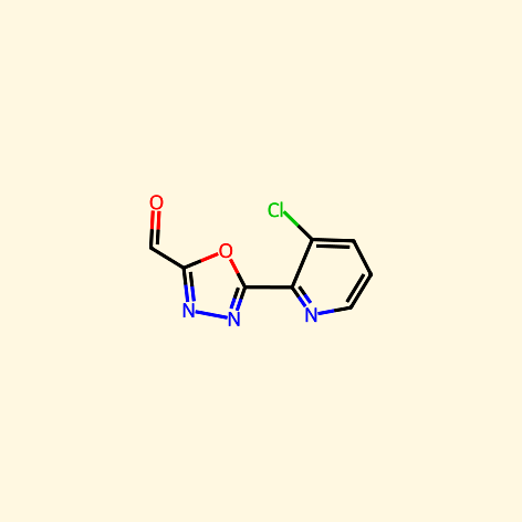 O=Cc1nnc(-c2ncccc2Cl)o1